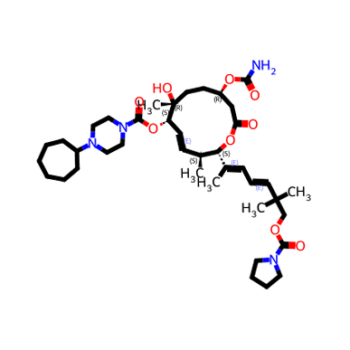 C/C(=C\C=C\C(C)(C)COC(=O)N1CCCC1)[C@H]1OC(=O)C[C@H](OC(N)=O)CC[C@@](C)(O)[C@@H](OC(=O)N2CCN(C3CCCCCC3)CC2)/C=C/[C@@H]1C